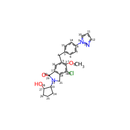 COc1c(Cc2ccc(-n3cccn3)cc2)cc2c(c1Cl)CN(C1CCCC1O)C2=O